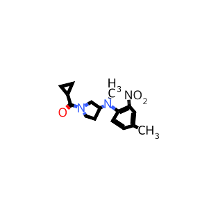 Cc1ccc(N(C)C2CCN(C(=O)C3CC3)C2)c([N+](=O)[O-])c1